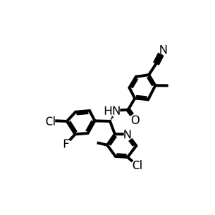 Cc1cc(C(=O)N[C@@H](c2ccc(Cl)c(F)c2)c2ncc(Cl)cc2C)ccc1C#N